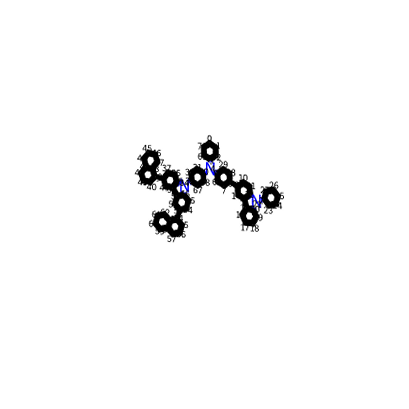 c1ccc(N(c2ccc(-c3ccc4c(c3)c3ccccc3n4-c3ccccc3)cc2)c2ccc(-n3c4ccc(-c5cccc6ccccc56)cc4c4cc(-c5cccc6ccccc56)ccc43)cc2)cc1